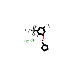 Cc1cc([O][Ti][C]2=CC=CC2)cc([Si](C)(C)C)c1.Cl.Cl